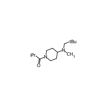 CC(C)C(=O)N1CCC(N(C)CC(C)(C)C)CC1